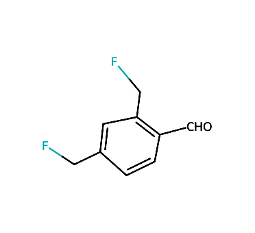 O=Cc1ccc(CF)cc1CF